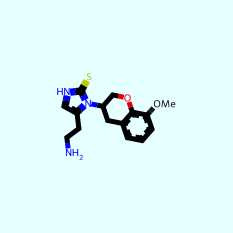 COc1cccc2c1OCC(n1c(CCN)c[nH]c1=S)C2